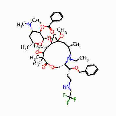 CCN1C[C@H](C)C[C@@](C)(OC)[C@H](O[C@@H]2O[C@H](C)C[C@H](N(C)C)[C@H]2OC(=O)c2ccccc2)[C@@H](C)C(=O)C(C)(C)C(=O)OC[C@H]1[C@@H](CCNCC(F)(F)F)OCc1ccccc1